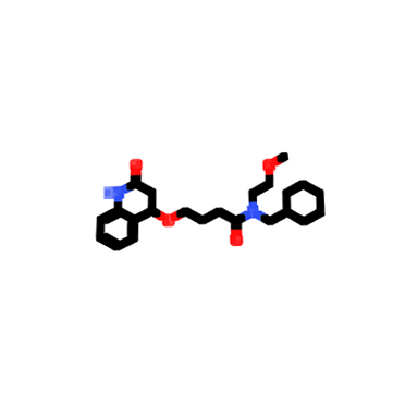 COCCN(CC1CCCCC1)C(=O)CCCOC1CC(=O)Nc2ccccc21